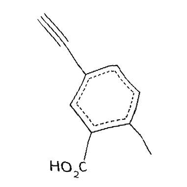 C#Cc1ccc(C)c(C(=O)O)c1